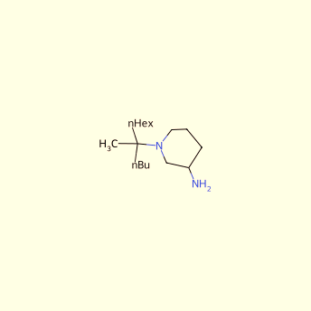 CCCCCCC(C)(CCCC)N1CCCC(N)C1